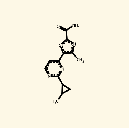 Cc1nc(C(N)=O)sc1-c1ccnc(C2CC2C)n1